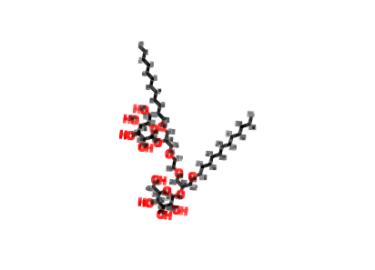 CCCCCCCCCCCCOCC(COCCOCC(COCCCCCCCCCCCC)O[C@@H]1OC(CO)[C@@H](O)[C@H](O)C1O)O[C@@H]1OC(CO)[C@@H](O)[C@H](O)C1O